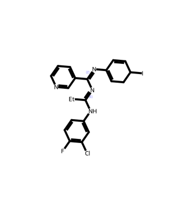 CC/C(=N\C(=N/C1=CCC(I)C=C1)c1cccnc1)Nc1ccc(F)c(Cl)c1